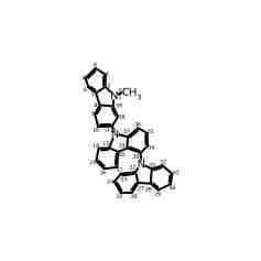 Cn1c2ccccc2c2ccc(-n3c4ccccc4c4c(-n5c6ccccc6c6ccccc65)cccc43)cc21